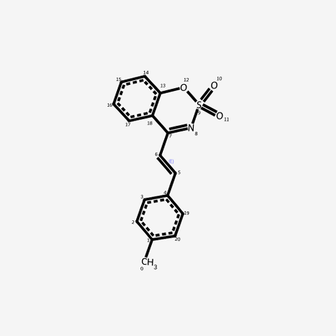 Cc1ccc(/C=C/C2=NS(=O)(=O)Oc3ccccc32)cc1